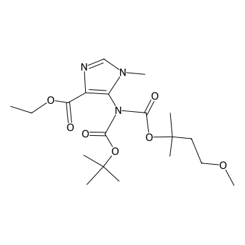 CCOC(=O)c1ncn(C)c1N(C(=O)OC(C)(C)C)C(=O)OC(C)(C)CCOC